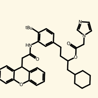 CC(C)(C)c1ccc(CCC(CC2CCCCC2)OC(=O)Cn2ccnc2)cc1NC(=O)CC1c2ccccc2Oc2ccccc21